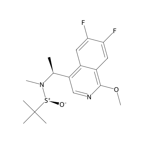 COc1ncc([C@H](C)N(C)[S@@+]([O-])C(C)(C)C)c2cc(F)c(F)cc12